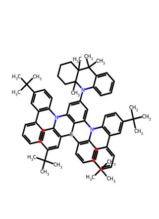 CC(C)(C)c1ccc2c(c1)B1c3ccc(C(C)(C)C)cc3N(c3ccc(C(C)(C)C)cc3-c3ccccc3)c3cc(N4c5ccccc5C(C)(C)C5(C)CCCCC45C)cc(c31)N2c1ccc(C(C)(C)C)cc1-c1ccccc1